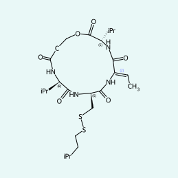 C/C=C1\NC(=O)[C@@H](CSSCCC(C)C)NC(=O)[C@@H](C(C)C)NC(=O)CCOC(=O)[C@H](C(C)C)NC1=O